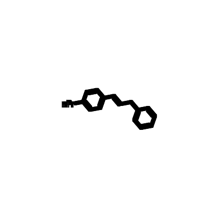 CCCc1ccc(C=CCc2ccccc2)cc1